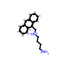 NCCCCNCc1c2ccccc2cc2ccccc12